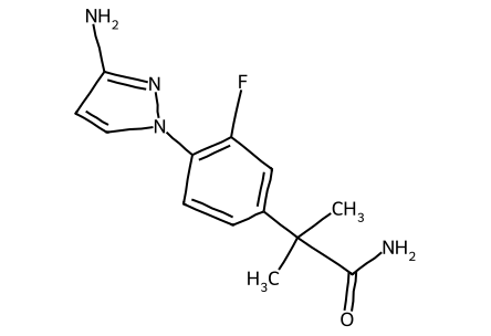 CC(C)(C(N)=O)c1ccc(-n2ccc(N)n2)c(F)c1